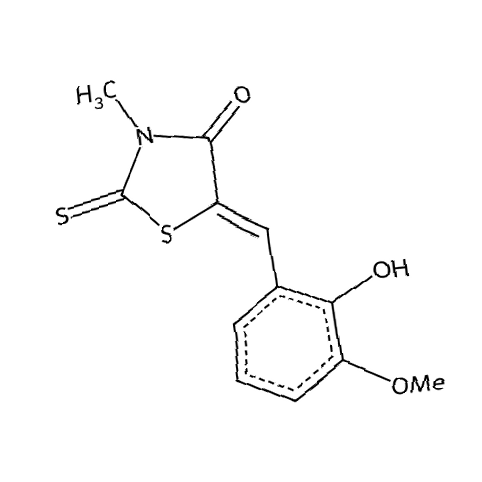 COc1cccc(/C=C2\SC(=S)N(C)C2=O)c1O